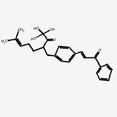 CC(C)=CCCC(Cc1ccc(C=CC(=O)c2ccccc2)cc1)C(=O)C(O)(O)O